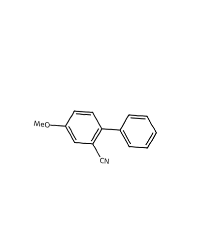 COc1ccc(-c2ccccc2)c(C#N)c1